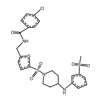 CS(=O)(=O)c1cccc(NC2CCN(S(=O)(=O)c3ccc(CNC(=O)c4ccc(Cl)cc4)s3)CC2)c1